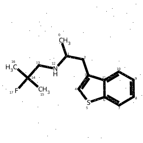 CC(Cc1csc2ccccc12)NCC(C)(C)F